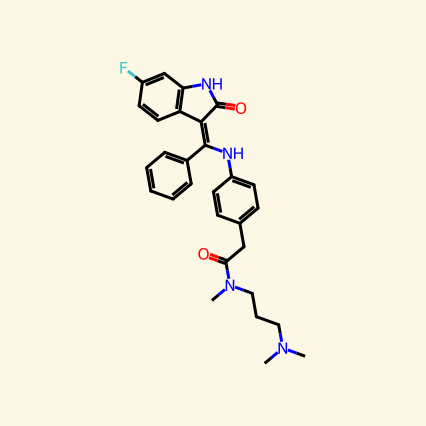 CN(C)CCCN(C)C(=O)Cc1ccc(N/C(=C2\C(=O)Nc3cc(F)ccc32)c2ccccc2)cc1